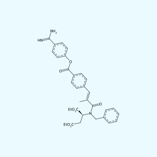 CCOC(=O)C[C@@H](C(=O)OCC)N(Cc1ccccc1)C(=O)/C(C)=C/c1ccc(C(=O)Oc2ccc(C(=N)N)cc2)cc1